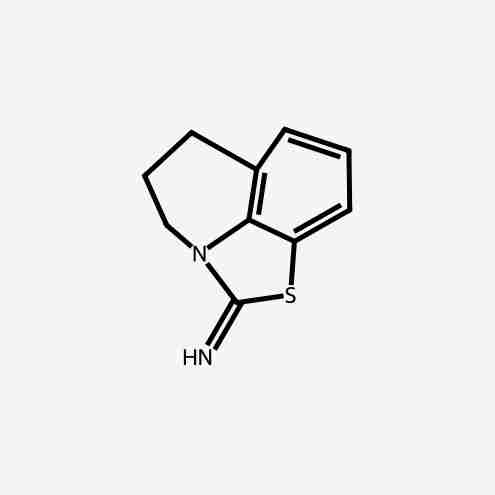 N=c1sc2cccc3c2n1CCC3